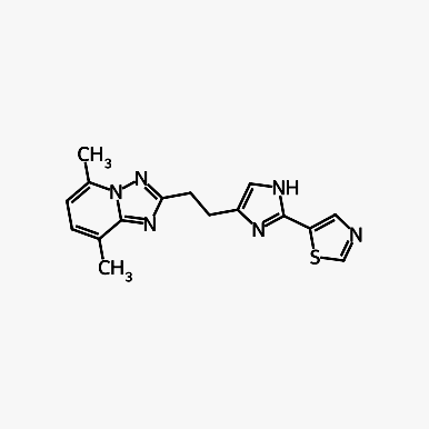 Cc1ccc(C)n2nc(CCc3c[nH]c(-c4cncs4)n3)nc12